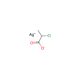 CC(Cl)C(=O)[O-].[Ag+]